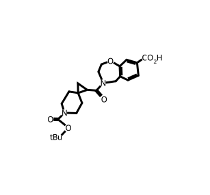 CC(C)(C)OC(=O)N1CCC2(CC1)CC2C(=O)N1CCOc2cc(C(=O)O)ccc2C1